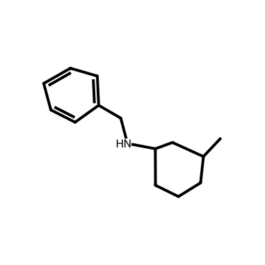 CC1CCCC(NCc2ccccc2)C1